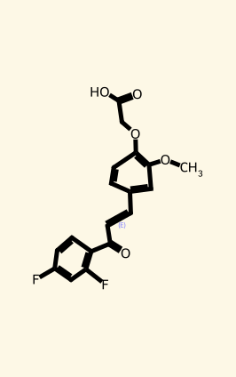 COc1cc(/C=C/C(=O)c2ccc(F)cc2F)ccc1OCC(=O)O